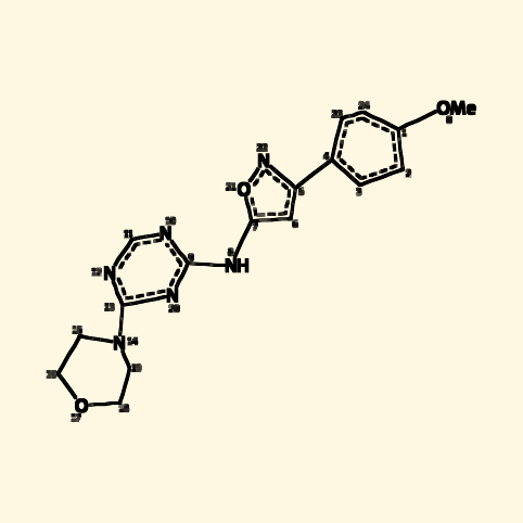 COc1ccc(-c2cc(Nc3ncnc(N4CCOCC4)n3)on2)cc1